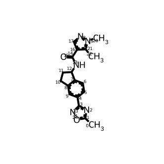 Cc1nc(-c2ccc3c(c2)CCC3NC(=O)c2cnn(C)c2C)no1